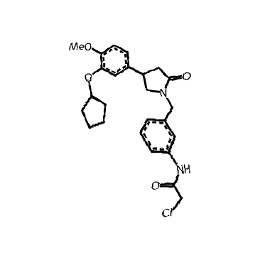 COc1ccc(C2CC(=O)N(Cc3cccc(NC(=O)CCl)c3)C2)cc1OC1CCCC1